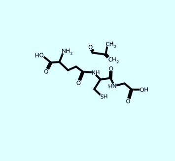 C=C(C)C=O.NC(CCC(=O)NC(CS)C(=O)NCC(=O)O)C(=O)O